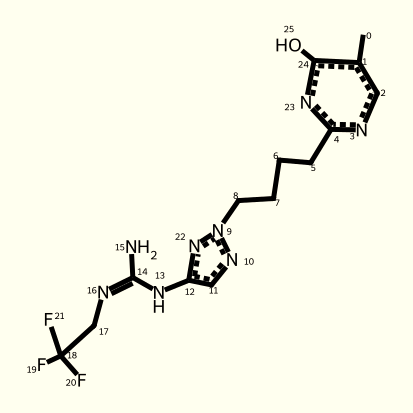 Cc1cnc(CCCCn2ncc(N/C(N)=N\CC(F)(F)F)n2)nc1O